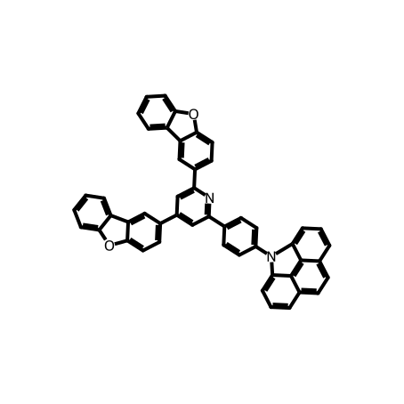 c1ccc2c(c1)oc1ccc(-c3cc(-c4ccc(-n5c6cccc7ccc8cccc5c8c76)cc4)nc(-c4ccc5oc6ccccc6c5c4)c3)cc12